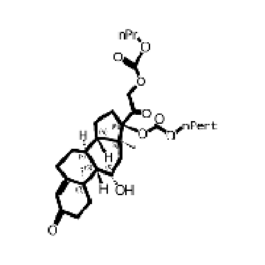 CCCCCOC(=O)O[C@]1(C(=O)COC(=O)OCCC)CC[C@H]2[C@@H]3CCC4=CC(=O)CC[C@]4(C)[C@H]3[C@@H](O)C[C@@]21C